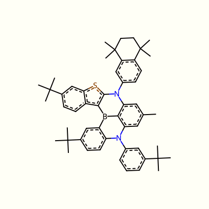 Cc1cc2c3c(c1)N(c1ccc4c(c1)C(C)(C)CCC4(C)C)c1sc4cc(C(C)(C)C)ccc4c1B3c1cc(C(C)(C)C)ccc1N2c1cccc(C(C)(C)C)c1